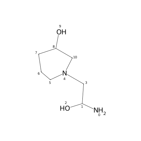 NC(O)CN1CCCC(O)C1